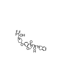 O=C1c2ccc(OC3CCN(CC(O)C(F)(F)F)CC3)cc2OCCN1C[C@H](O)CN1CCc2ccccc2C1